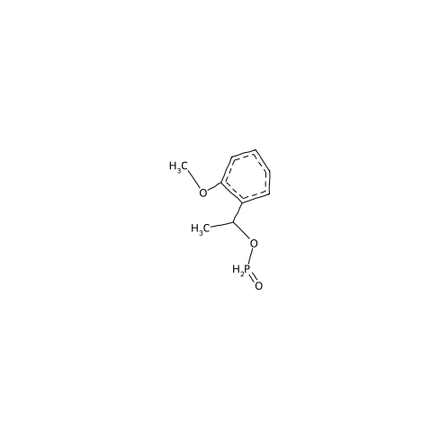 COc1ccccc1C(C)O[PH2]=O